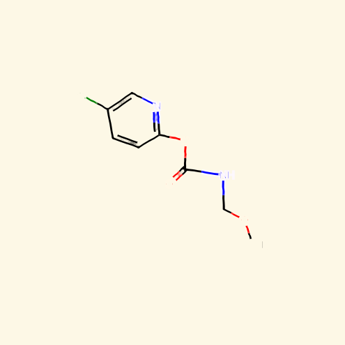 COCNC(=O)Oc1ccc(Cl)cn1